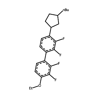 CCCCC1CCC(c2ccc(-c3ccc(OCC)c(F)c3F)c(F)c2F)C1